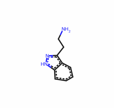 NCCc1n[nH]c2ccccc12